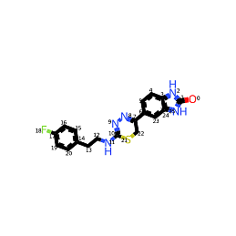 O=c1[nH]c2ccc(C3=NN=C(NCCc4ccc(F)cc4)SC3)cc2[nH]1